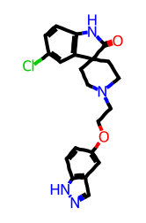 O=C1Nc2ccc(Cl)cc2C12CCN(CCOc1ccc3[nH]ncc3c1)CC2